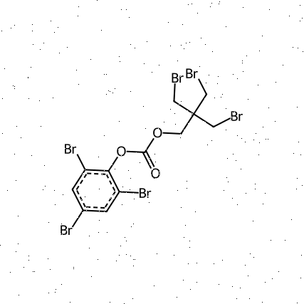 O=C(OCC(CBr)(CBr)CBr)Oc1c(Br)cc(Br)cc1Br